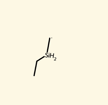 [CH2][SiH2]CC